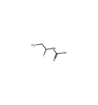 CCC(I)NC(=O)O